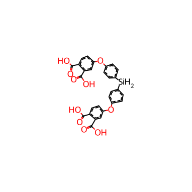 O=C(O)c1ccc(Oc2ccc([SiH2]c3ccc(Oc4ccc(C(=O)O)c(C(=O)O)c4)cc3)cc2)cc1C(=O)O